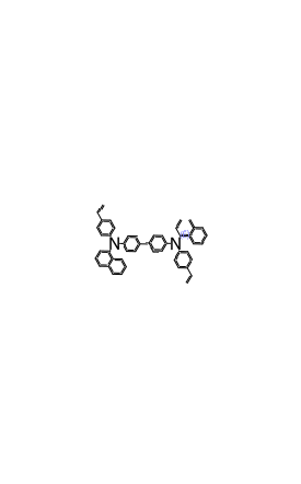 C=C/C(=c1/ccccc1=C)N(c1ccc(C=C)cc1)c1ccc(-c2ccc(N(c3ccc(C=C)cc3)c3cccc4ccccc34)cc2)cc1